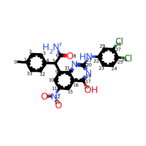 Cc1ccc(C(C(N)=O)c2cc([N+](=O)[O-])cc3c(O)nc(Nc4ccc(Cl)c(Cl)c4)nc23)cc1